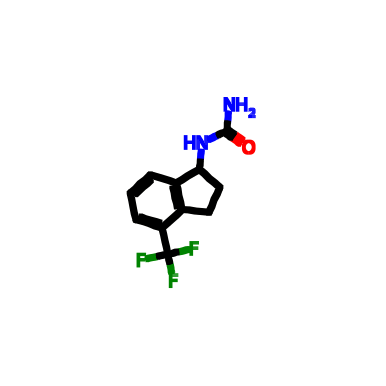 NC(=O)NC1CCc2c1cccc2C(F)(F)F